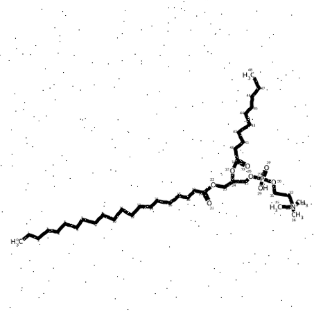 CCCCCCCCCCCCCCCCCCCCC(=O)OCC(COP(=O)(O)OCC[N+](C)(C)C)OC(=O)CCCCCCCCC